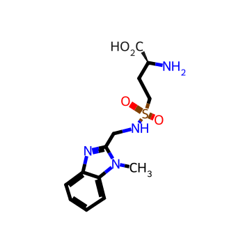 Cn1c(CNS(=O)(=O)CC[C@H](N)C(=O)O)nc2ccccc21